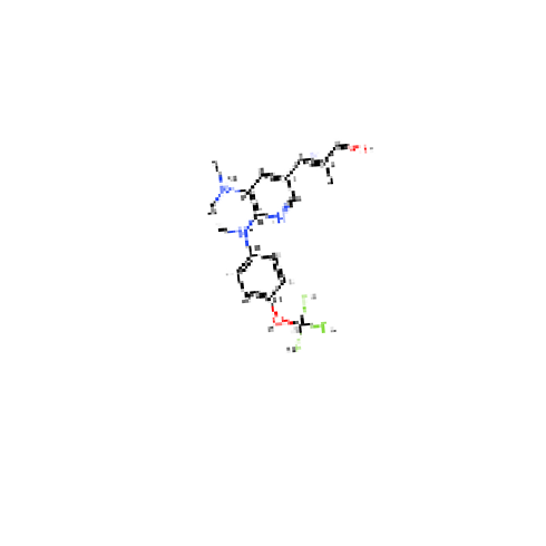 C/C(C=O)=C\c1cnc(N(C)c2ccc(OC(F)(F)F)cc2)c(N(C)C)c1